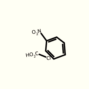 O=C(O)Cl.O=[N+]([O-])c1ccccc1